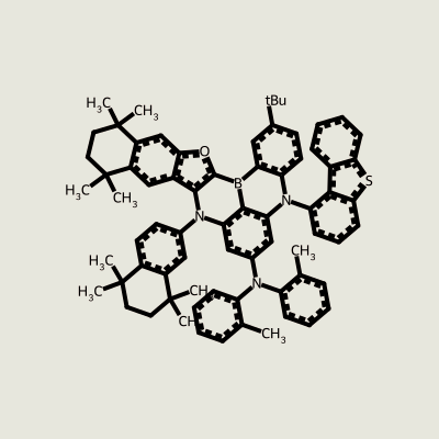 Cc1ccccc1N(c1cc2c3c(c1)N(c1cccc4sc5ccccc5c14)c1ccc(C(C)(C)C)cc1B3c1oc3cc4c(cc3c1N2c1ccc2c(c1)C(C)(C)CCC2(C)C)C(C)(C)CCC4(C)C)c1ccccc1C